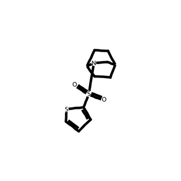 O=S(=O)(c1cccs1)N1[CH]C2CCC1CC2